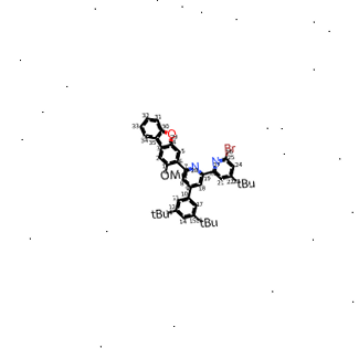 COc1cc2c(cc1-c1cc(-c3cc(C(C)(C)C)cc(C(C)(C)C)c3)cc(-c3cc(C(C)(C)C)cc(Br)n3)n1)oc1ccccc12